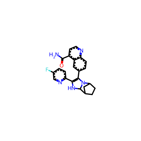 NC(=O)c1ccnc2ccc(C3=C(c4ccc(F)cn4)NC4C5CCC(C5)N34)cc12